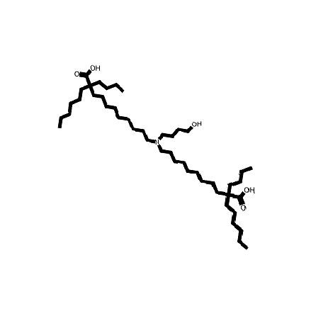 CCCCCCC(CCCC)(CCCCCCCCCN(CCCCO)CCCCCCCCCC(CCCC)(CCCCCC)C(=O)O)C(=O)O